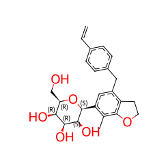 C=Cc1ccc(Cc2cc([C@@H]3O[C@H](CO)[C@H](O)[C@H](O)[C@@H]3O)c(C)c3c2CCO3)cc1